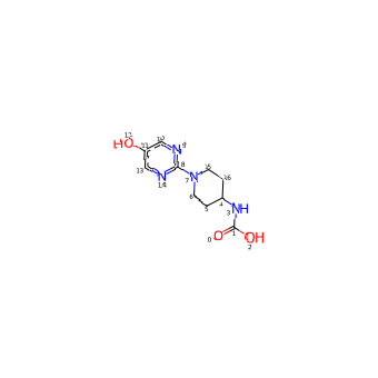 O=C(O)NC1CCN(c2ncc(O)cn2)CC1